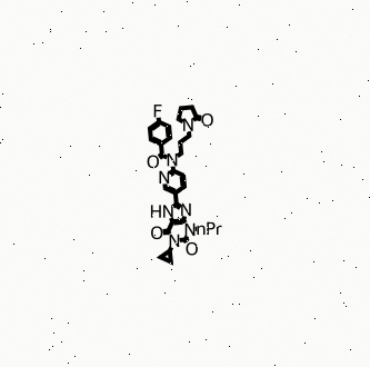 CCCn1c(=O)n(C2CC2)c(=O)c2[nH]c(-c3ccc(N(CCCN4CCCC4=O)C(=O)c4ccc(F)cc4)nc3)nc21